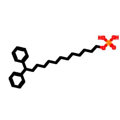 O=P(O)(O)OCCCCCCCCCCCCC(c1ccccc1)c1ccccc1